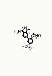 Cc1nnc(N)c2ccc(-c3cc(B(O)O)ccc3C(F)(F)F)cc12.O=CO